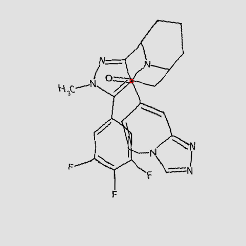 Cn1nc2c(c1-c1cc(F)c(F)c(F)c1)CC1CCCC2N1C(=O)c1ccn2cnnc2c1